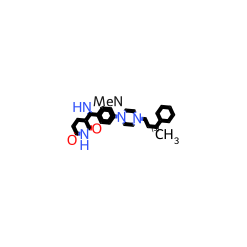 CNc1cc(N2CCN(CC[C@H](C)C3CCCCC3)CC2)ccc1C(=N)C1CCC(=O)NC1=O